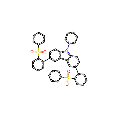 O=S(=O)(c1ccccc1)c1ccccc1-c1ccc2c(c1)c1cc(-c3ccccc3S(=O)(=O)c3ccccc3)ccc1n2-c1ccccc1